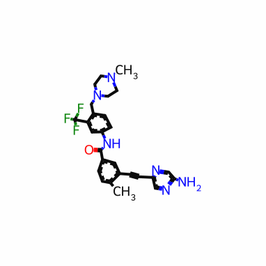 Cc1ccc(C(=O)Nc2ccc(CN3CCN(C)CC3)c(C(F)(F)F)c2)cc1C#Cc1cnc(N)cn1